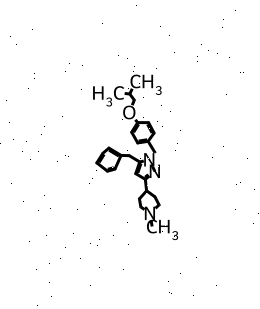 CC(C)COc1ccc(Cn2nc(C3CCN(C)CC3)cc2Cc2ccccc2)cc1